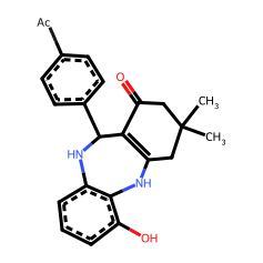 CC(=O)c1ccc(C2Nc3cccc(O)c3NC3=C2C(=O)CC(C)(C)C3)cc1